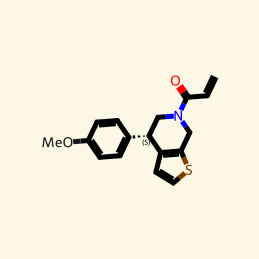 C=CC(=O)N1Cc2sccc2[C@H](c2ccc(OC)cc2)C1